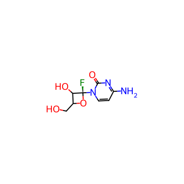 Nc1ccn([C@]2(F)OC(CO)C2O)c(=O)n1